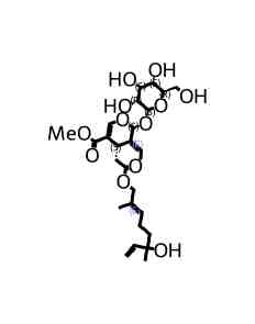 C=CC(C)(O)CC/C=C(\C)COC(=O)C[C@@H]1C(C(=O)OC)=CO[C@@H](O[C@@H]2O[C@H](CO)[C@@H](O)[C@H](O)[C@H]2O)/C1=C/C